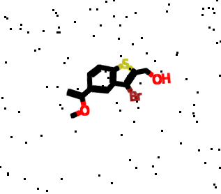 C=C(OC)c1ccc2sc(CO)c(Br)c2c1